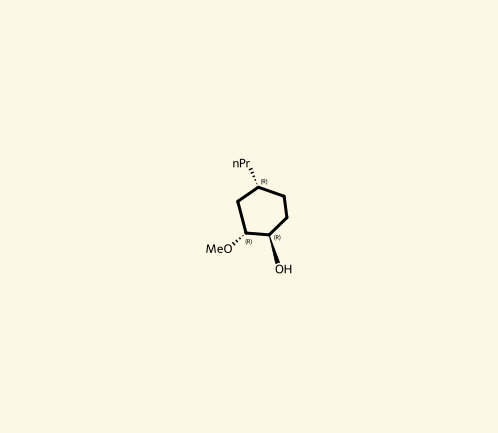 CCC[C@@H]1CC[C@@H](O)[C@H](OC)C1